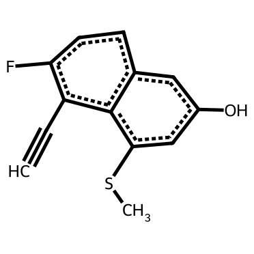 C#Cc1c(F)ccc2cc(O)cc(SC)c12